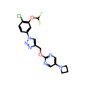 FC(F)Oc1cc(-n2cc(COc3ncc(N4CCC4)cn3)nn2)ccc1Cl